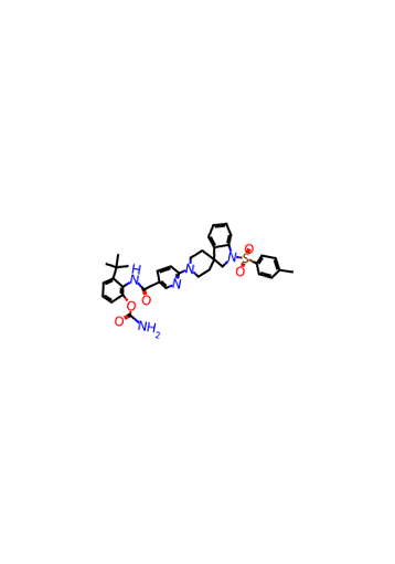 Cc1ccc(S(=O)(=O)N2CC3(CCN(c4ccc(C(=O)Nc5c(OC(N)=O)cccc5C(C)(C)C)cn4)CC3)c3ccccc32)cc1